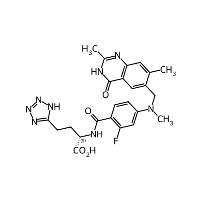 Cc1nc2cc(C)c(CN(C)c3ccc(C(=O)N[C@@H](CCc4nnn[nH]4)C(=O)O)c(F)c3)cc2c(=O)[nH]1